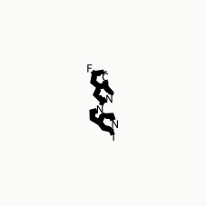 Fc1ccc2cnc(-n3ccc4cc(I)ncc43)cc2c1